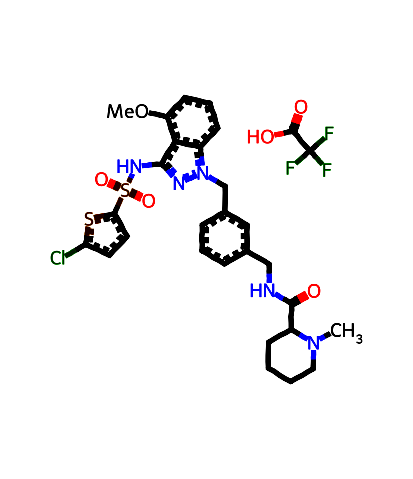 COc1cccc2c1c(NS(=O)(=O)c1ccc(Cl)s1)nn2Cc1cccc(CNC(=O)C2CCCCN2C)c1.O=C(O)C(F)(F)F